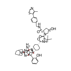 Cc1ncsc1-c1ccc(CNC(=O)[C@@H]2C[C@@H](O)CN2C(=O)[C@@H](NC(=O)[C@H]2CC[C@@H](Cc3cnc(N4C5CCC4CN(c4cc(-c6ccccc6O)nnc4N)C5)nc3)CC2)C(C)(C)C)cc1